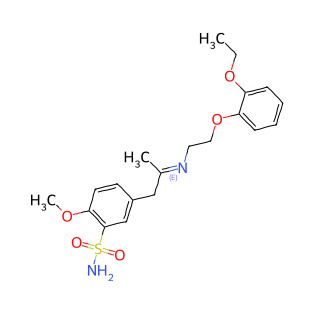 CCOc1ccccc1OCC/N=C(\C)Cc1ccc(OC)c(S(N)(=O)=O)c1